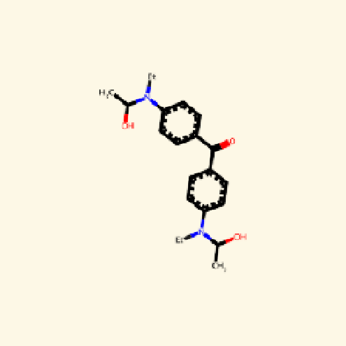 CCN(c1ccc(C(=O)c2ccc(N(CC)C(C)O)cc2)cc1)C(C)O